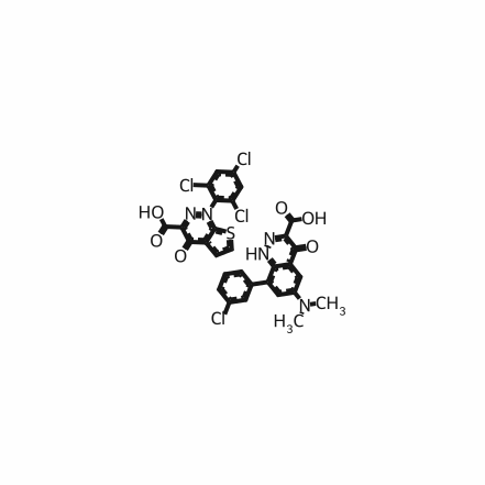 CN(C)c1cc(-c2cccc(Cl)c2)c2[nH]nc(C(=O)O)c(=O)c2c1.O=C(O)c1nn(-c2c(Cl)cc(Cl)cc2Cl)c2sccc2c1=O